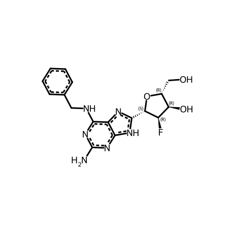 Nc1nc(NCc2ccccc2)c2nc([C@@H]3O[C@H](CO)[C@@H](O)[C@H]3F)[nH]c2n1